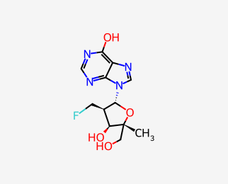 C[C@]1(CO)O[C@@H](n2cnc3c(O)ncnc32)[C@H](CF)[C@@H]1O